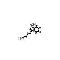 Cn1cc(CCCCO)c2ccccc21